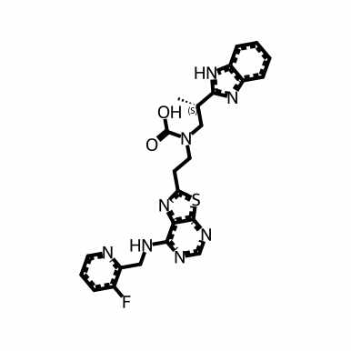 C[C@@H](CN(CCc1nc2c(NCc3ncccc3F)ncnc2s1)C(=O)O)c1nc2ccccc2[nH]1